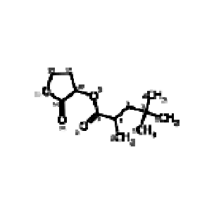 CC(CC(C)(C)C)C(=O)OC1CCOC1=O